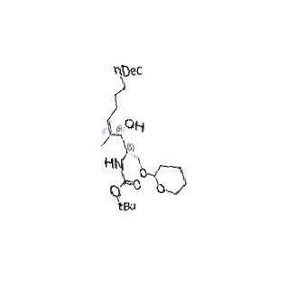 CCCCCCCCCCCCC/C=C(/C)[C@H](O)[C@H](COC1CCCCO1)NC(=O)OC(C)(C)C